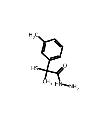 Cc1cccc(C(C)(S)C(=O)NN)c1